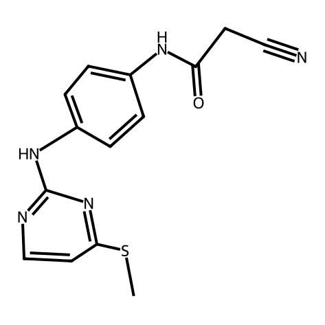 CSc1ccnc(Nc2ccc(NC(=O)CC#N)cc2)n1